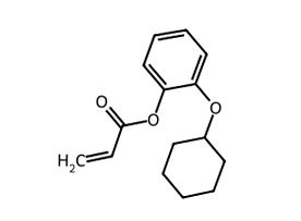 C=CC(=O)Oc1ccccc1OC1CCCCC1